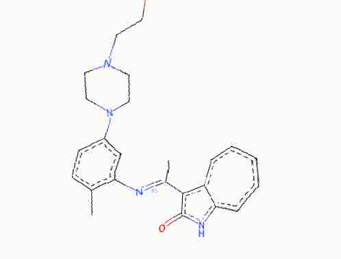 C/C(=N\c1cc(N2CCN(CCO)CC2)ccc1C)c1c2cccccc-2[nH]c1=O